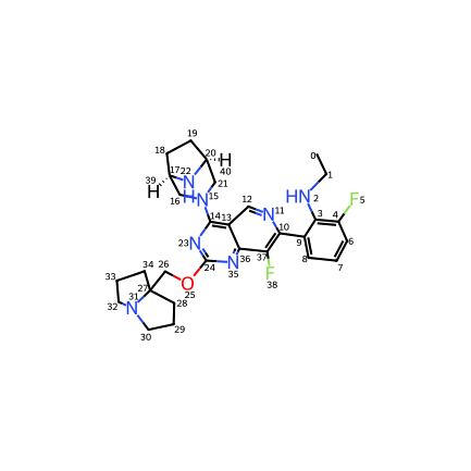 CCNc1c(F)cccc1-c1ncc2c(N3C[C@H]4CC[C@@H](C3)N4)nc(OCC34CCCN3CCC4)nc2c1F